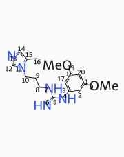 COc1cc(NC(=N)NCCCn2cncc2C)cc(OC)c1